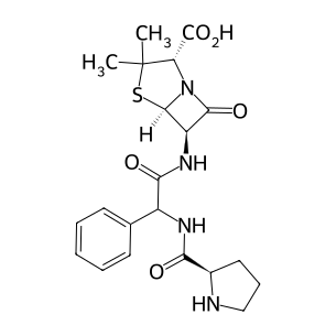 CC1(C)S[C@@H]2[C@H](NC(=O)C(NC(=O)[C@H]3CCCN3)c3ccccc3)C(=O)N2[C@H]1C(=O)O